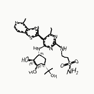 Cc1nc(NCCS(N)(=O)=O)nc(N[C@@H]2C[C@H](C(C)(C)O)[C@@H](O)[C@H]2O)c1-c1nc2c(C)nccc2s1